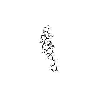 CC1([C@H]2CC[C@H]3[C@@H]4CC[C@H]5C[C@@](O)(CC[S+]([O-])c6ccccc6)CC[C@]5(C)[C@H]4CC[C@]23C)OCCO1